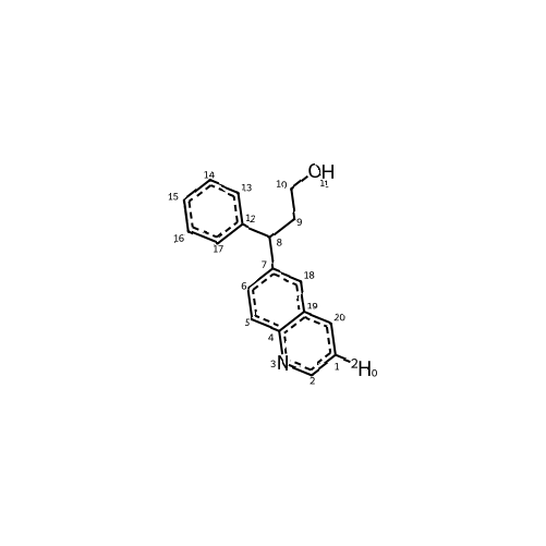 [2H]c1cnc2ccc(C(CCO)c3ccccc3)cc2c1